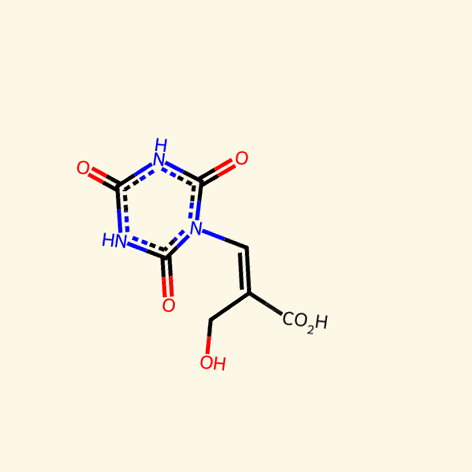 O=C(O)C(=Cn1c(=O)[nH]c(=O)[nH]c1=O)CO